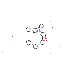 C1=CC(c2cccc(-c3ccc4oc5ccc(-n6c7ccccc7c7cc(-c8ccccc8)ccc76)cc5c4c3)c2)=CCC1